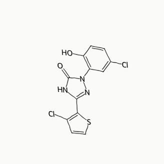 O=c1[nH]c(-c2sccc2Cl)nn1-c1cc(Cl)ccc1O